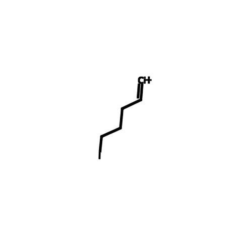 [CH]=CCCCI